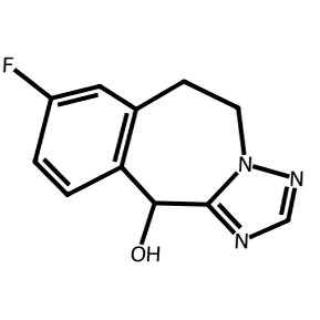 OC1c2ccc(F)cc2CCn2ncnc21